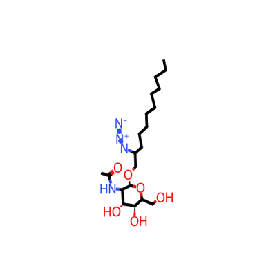 CCCCCCCCCCC(CO[C@@H]1OC(CO)[C@@H](O)[C@H](O)C1NC(C)=O)N=[N+]=[N-]